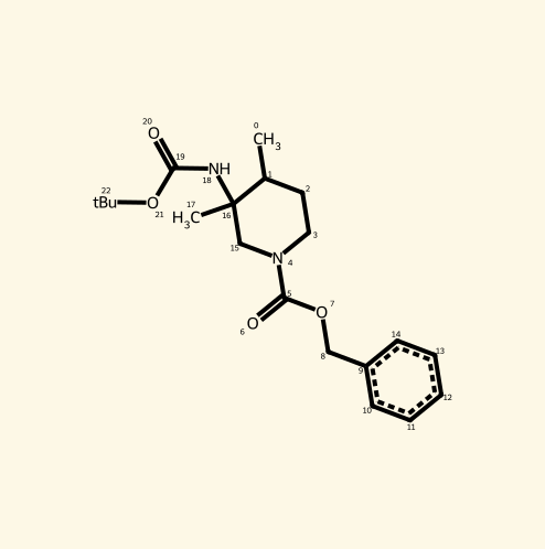 CC1CCN(C(=O)OCc2ccccc2)CC1(C)NC(=O)OC(C)(C)C